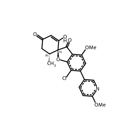 COc1ccc(-c2cc(OC)c3c(c2Cl)O[C@]2(C3=O)C(O)=CC(=O)C[C@H]2C)cn1